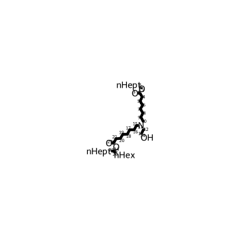 CCCCCCCOC(=O)CCCCCCCN(CCO)CCCCCCCC(=O)OC(CCCCCC)CCCCCCC